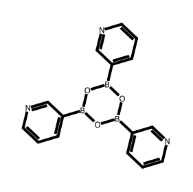 c1cncc(B2OB(c3cccnc3)OB(c3cccnc3)O2)c1